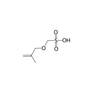 C=C(C)COCS(=O)(=O)O